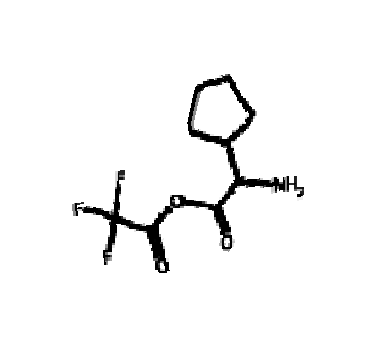 NC(C(=O)OC(=O)C(F)(F)F)C1CCCC1